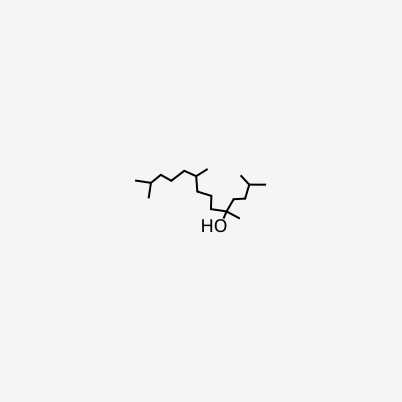 CC(C)CCCC(C)CCCC(C)(O)CCC(C)C